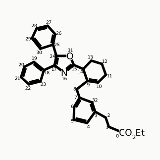 CCOC(=O)CCc1cccc(CC2=CCCCC2c2nc(-c3ccccc3)c(-c3ccccc3)o2)c1